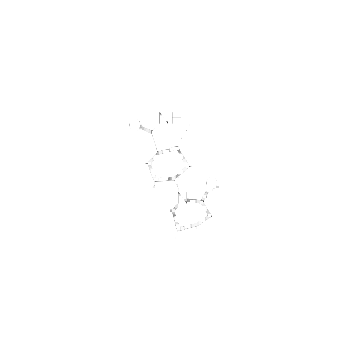 NC(=O)c1ccc(-n2ccccc2=O)cc1